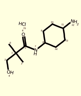 CC(C)(CO)C(=O)NC1CCC(N)CC1.Cl